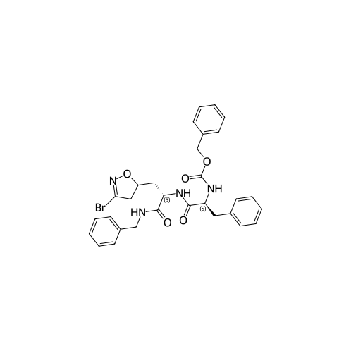 O=C(N[C@@H](Cc1ccccc1)C(=O)N[C@@H](CC1CC(Br)=NO1)C(=O)NCc1ccccc1)OCc1ccccc1